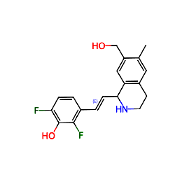 Cc1cc2c(cc1CO)C(/C=C/c1ccc(F)c(O)c1F)NCC2